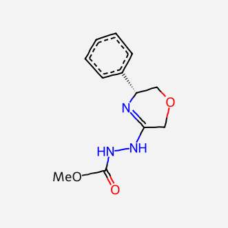 COC(=O)NNC1=N[C@H](c2ccccc2)COC1